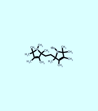 CC1=C(C)C(C)(CCC2(C)C(C)=C(C)C(C)(C)N2C(C)(C)C)N(C)C1(C)C